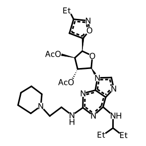 CCc1cc([C@H]2O[C@@H](n3cnc4c(NC(CC)CC)nc(NCCN5CCCCC5)nc43)[C@H](OC(C)=O)[C@H]2OC(C)=O)on1